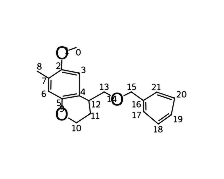 COc1cc2c(cc1C)OCCC2COCc1ccccc1